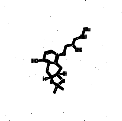 CC(C)(C)NCC(O)COc1ccc(O)c2c1C[C@H]1OC(C)(C)O[C@@H]1C2